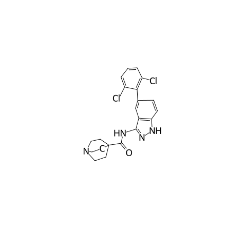 O=C(Nc1n[nH]c2ccc(-c3c(Cl)cccc3Cl)cc12)C12CCN(CC1)CC2